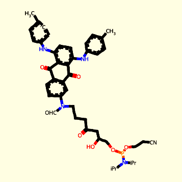 Cc1ccc(Nc2ccc(Nc3ccc(C)cc3)c3c2C(=O)c2ccc(N(C=O)CCCC(=O)CC(O)COP(OCCC#N)N(C(C)C)C(C)C)cc2C3=O)cc1